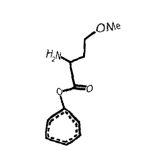 COCCC(N)C(=O)Oc1ccccc1